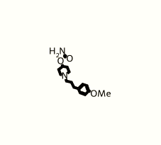 COc1ccc(CCCN2CCC(OC(N)=O)CC2)cc1